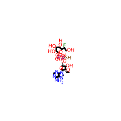 Nc1ncnc2c1ncn2[C@@H]1O[C@H](COP(=O)(S)OP(=O)(O)OC2OC([C@@H](F)CO)C(O)C(O)C2O)[C@@H](O)[C@]12CCO2